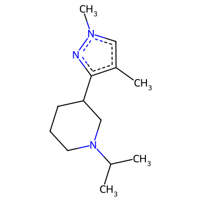 Cc1cn(C)nc1C1CCCN(C(C)C)C1